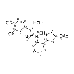 CC(=O)OC1CCN(C2CCCCC2N(C)C(=O)Cc2ccc(Cl)c(Cl)c2)C1.Cl